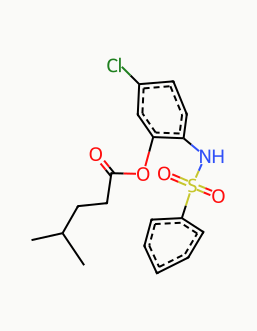 CC(C)CCC(=O)Oc1cc(Cl)ccc1NS(=O)(=O)c1ccccc1